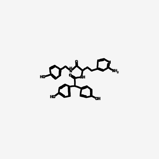 Nc1cc(CCC(NC(=O)C(c2ccc(O)cc2)c2ccc(O)cc2)C(=O)NCc2ccc(O)cc2)ccn1